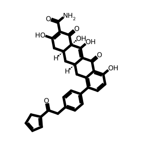 NC(=O)C1=C(O)C[C@@H]2C[C@@H]3Cc4c(-c5ccc(CC(=O)C6=CC=CC6)cc5)ccc(O)c4C(=O)C3=C(O)[C@]2(O)C1=O